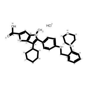 Cl.Cn1c(-c2ccc(OCc3ccccc3N3CCOCC3)cc2)c(C2CCCCC2)c2sc(C(=O)O)cc21